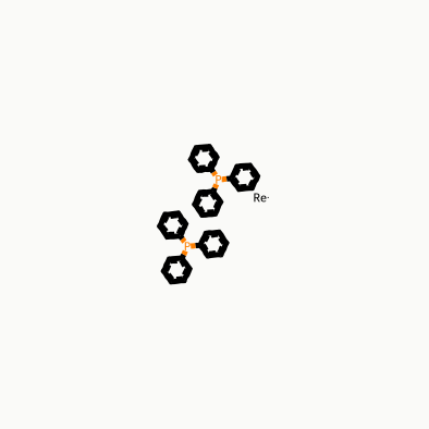 [Re].c1ccc(P(c2ccccc2)c2ccccc2)cc1.c1ccc(P(c2ccccc2)c2ccccc2)cc1